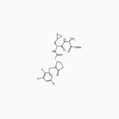 COC(=O)[C@H](C)NC(=O)[C@H](CC1CC1)NC(=O)C[C@@H]1CCC(=O)N1Cc1cc(F)cc(F)c1F